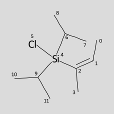 C/C=C(/C)[Si](Cl)(C(C)C)C(C)C